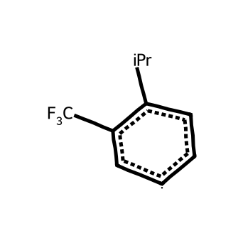 CC(C)c1cc[c]cc1C(F)(F)F